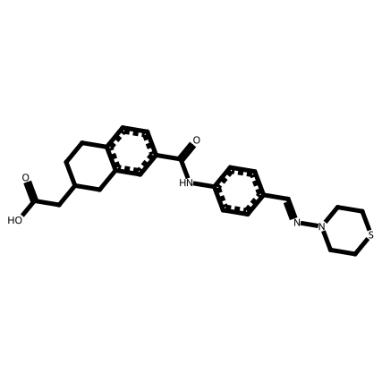 O=C(O)CC1CCc2ccc(C(=O)Nc3ccc(C=NN4CCSCC4)cc3)cc2C1